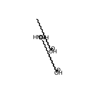 C1CNCCN1.CCCCCCCCCC=CC=CC=CC=CC=CC(=O)O.CCCCCCCCCC=CC=CC=CC=CC=CC(=O)O